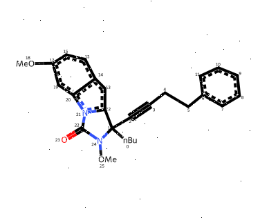 CCCCC1(C#CCCc2ccccc2)c2cc3ccc(OC)cc3n2C(=O)N1OC